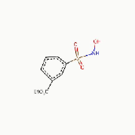 CCOC(=O)c1cccc(S(=O)(=O)NO)c1